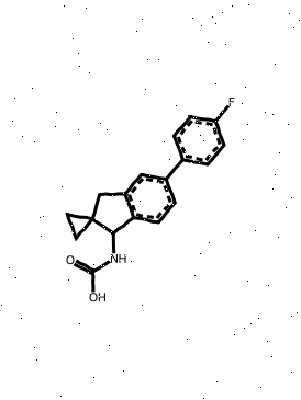 O=C(O)NC1c2ccc(-c3ccc(F)cc3)cc2CC12CC2